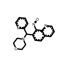 O=Nc1c(C(c2ccccn2)N2CCOCC2)ccc2cccnc12